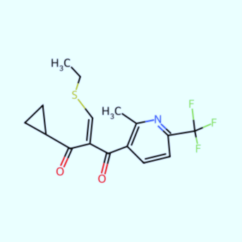 CCSC=C(C(=O)c1ccc(C(F)(F)F)nc1C)C(=O)C1CC1